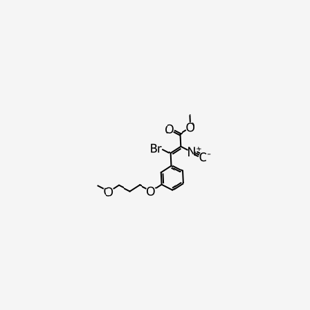 [C-]#[N+]C(C(=O)OC)=C(Br)c1cccc(OCCCOC)c1